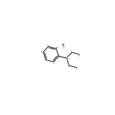 CCN(CC)c1ccccc1.[B]